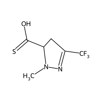 CN1N=C(C(F)(F)F)CC1C(O)=S